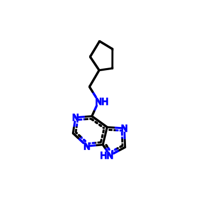 c1nc(NCC2CCCC2)c2nc[nH]c2n1